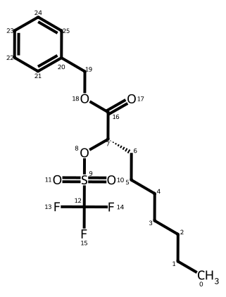 CCCCCCC[C@H](OS(=O)(=O)C(F)(F)F)C(=O)OCc1ccccc1